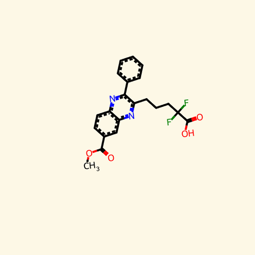 COC(=O)c1ccc2nc(-c3ccccc3)c(CCCC(F)(F)C(=O)O)nc2c1